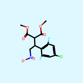 COC(=O)C(C(=O)OC)C(C[N+](=O)[O-])c1c(F)cc(Cl)cc1F